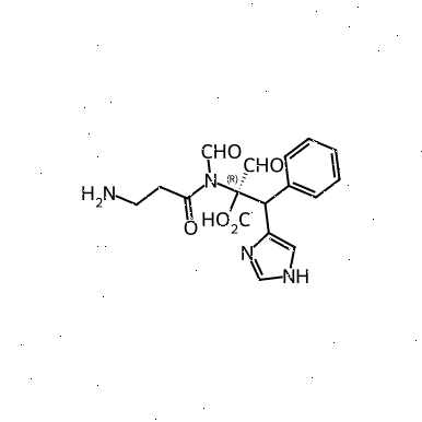 NCCC(=O)N(C=O)[C@](C=O)(C(=O)O)C(c1ccccc1)c1c[nH]cn1